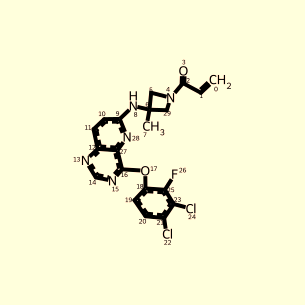 C=CC(=O)N1CC(C)(Nc2ccc3ncnc(Oc4ccc(Cl)c(Cl)c4F)c3n2)C1